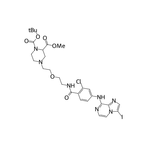 COC(=O)C1CN(CCOCCNC(=O)c2ccc(Nc3nccn4c(I)cnc34)cc2Cl)CCN1C(=O)OC(C)(C)C